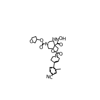 Cc1cc(C#N)ccc1C1=CCN(S(=O)(=O)CC2(C(=O)NO)CCN(C(=O)OC3CCOC3)CC2)CC1